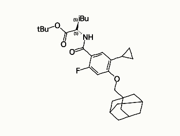 CC[C@H](C)[C@H](NC(=O)c1cc(C2CC2)c(OCC23CC4CC(CC(C4)C2)C3)cc1F)C(=O)OC(C)(C)C